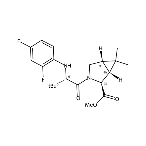 COC(=O)[C@@H]1[C@@H]2[C@H](CN1C(=O)[C@@H](Nc1ccc(F)cc1F)C(C)(C)C)C2(C)C